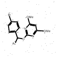 COc1cc(OC)nc(OC(C(C)=O)c2ccc(Br)cc2)n1